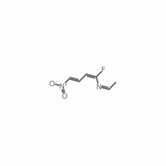 C\C=N/C(F)=C\C=C\[N+](=O)[O-]